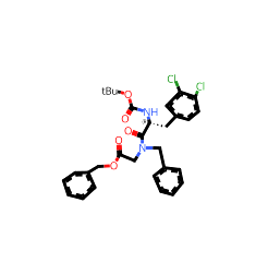 CC(C)(C)OC(=O)N[C@H](Cc1ccc(Cl)c(Cl)c1)C(=O)N(CC(=O)OCc1ccccc1)Cc1ccccc1